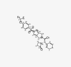 O=C([C@H](C1=CCCC=C1)N1CCC1=O)N1Cc2cn(S(=O)(=O)c3ccc(OC(F)F)cc3)nc2C1